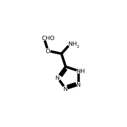 NC(OC=O)c1nnn[nH]1